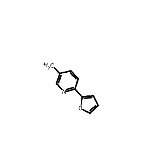 [CH2]c1ccc(-c2ccco2)nc1